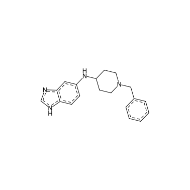 c1ccc(CN2CCC(Nc3ccc4[nH]cnc4c3)CC2)cc1